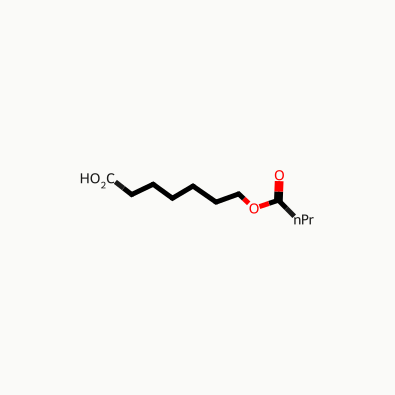 CCCC(=O)OCCCCCCC(=O)O